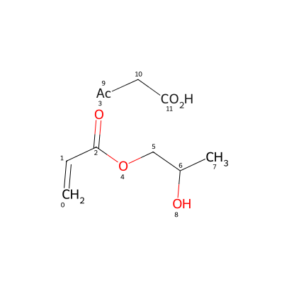 C=CC(=O)OCC(C)O.CC(=O)CC(=O)O